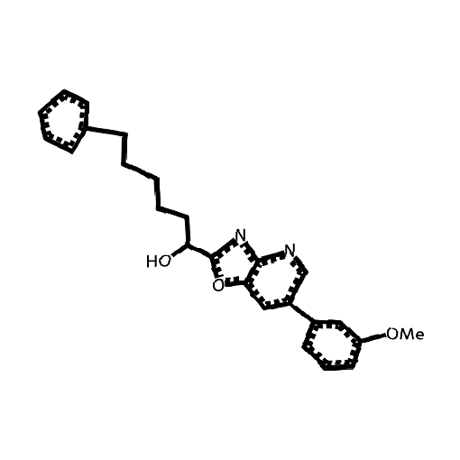 COc1cccc(-c2cnc3nc(C(O)CCCCCc4ccccc4)oc3c2)c1